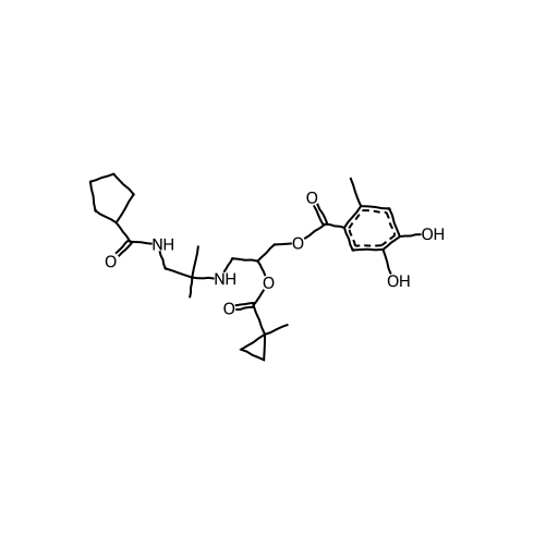 Cc1cc(O)c(O)cc1C(=O)OCC(CNC(C)(C)CNC(=O)C1CCCC1)OC(=O)C1(C)CC1